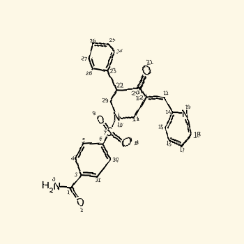 NC(=O)c1ccc(S(=O)(=O)N2CC(=Cc3ccccn3)C(=O)C(c3ccccc3)C2)cc1